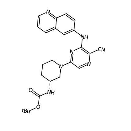 CC(C)(C)OC(=O)N[C@@H]1CCCN(c2cnc(C#N)c(Nc3ccc4ncccc4c3)n2)C1